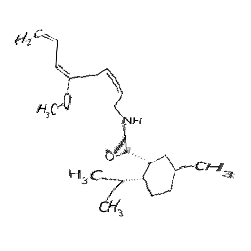 C=C/C=C(\C=C/CNC(=O)[C@@H]1CC(C)CC[C@@H]1C(C)C)OC